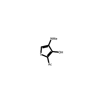 CNc1csc(C(C)=O)c1O